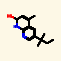 CCC(C)(C)c1cnc2c(c1)C(C)=CC(O)N2